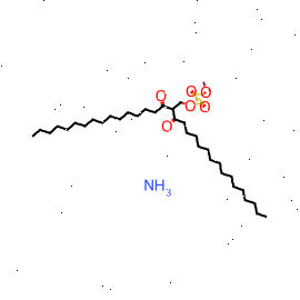 CCCCCCCCCCCCCCCC(=O)C(COS(=O)(=O)OC)C(=O)CCCCCCCCCCCCCCC.N